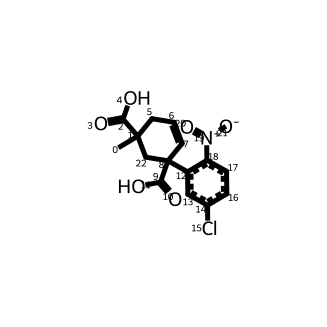 CC1(C(=O)O)CC=CC(C(=O)O)(c2cc(Cl)ccc2[N+](=O)[O-])C1